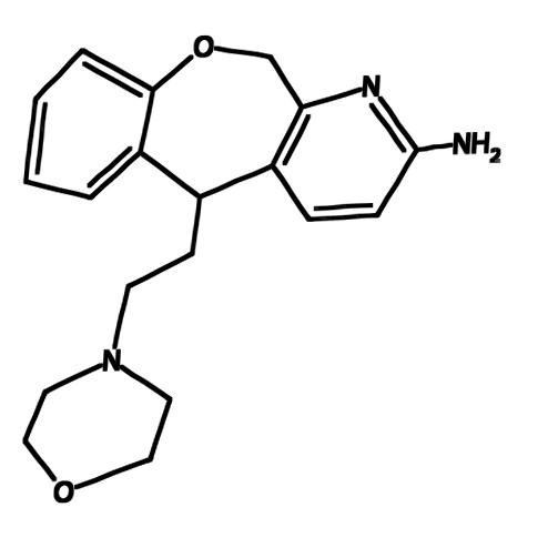 Nc1ccc2c(n1)COc1ccccc1C2CCN1CCOCC1